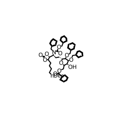 CCCCCCCCCCCCCCC1OC(=O)O[C@H]1[C@H](CC[C@H]1OC(COC(=O)c2ccccc2)[C@H](O)[C@H](OCc2ccccc2)C1OCc1ccccc1)N(Cc1ccccc1)C(=O)OCc1ccccc1